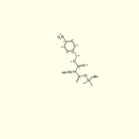 C=C(O[Si](C)(C)C(C)(C)C)C(=[N+]=[N-])C(=O)OCc1ccc([N+](=O)[O-])cc1